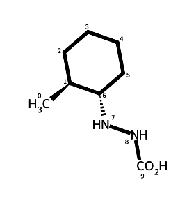 C[C@H]1CCCC[C@@H]1NNC(=O)O